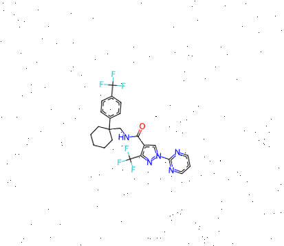 O=C(NCC1(c2ccc(C(F)(F)F)cc2)CCCCC1)c1cn(-c2ncccn2)nc1C(F)(F)F